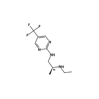 CCN[C@@H](C)CNc1ncc(C(F)(F)F)cn1